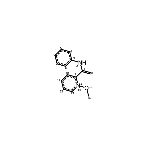 C=C(Nc1ccccc1)c1cccc[n+]1OC